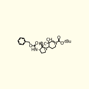 CC(C)(C)OC(=O)N1CCC(N2CC[C@H](NC(=O)OCc3ccccc3)C2=O)C(C)(C)C1